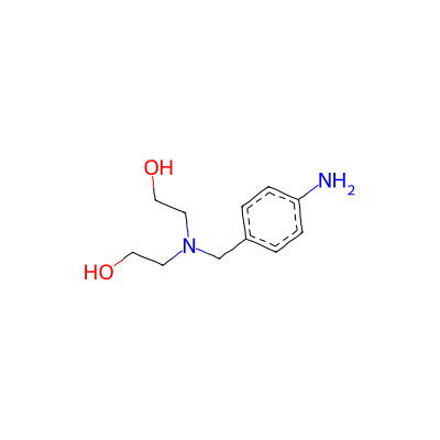 Nc1ccc(CN(CCO)CCO)cc1